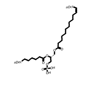 CCCCCCCC/C=C\CCCCCCCCCC(=O)OC[C@H](COP(=O)(O)O)OC(=O)CCCCCCCCCCCCCCC